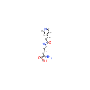 N[C@@H](CCCCNC(=O)CCc1ccncc1)C(=O)O